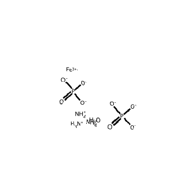 O.O=P([O-])([O-])[O-].O=P([O-])([O-])[O-].[Fe+3].[NH4+].[NH4+].[NH4+]